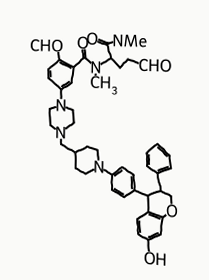 CNC(=O)C(CCC=O)N(C)C(=O)c1cc(N2CCN(CC3CCN(c4ccc(C5c6ccc(O)cc6OCC5c5ccccc5)cc4)CC3)CC2)ccc1C=O